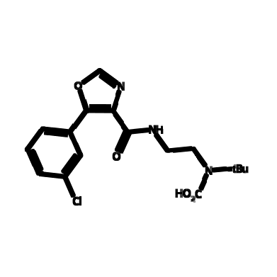 CC(C)(C)N(CCNC(=O)c1ncoc1-c1cccc(Cl)c1)C(=O)O